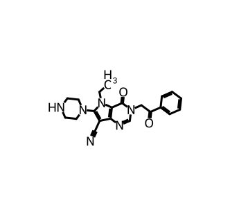 CCn1c(N2CCNCC2)c(C#N)c2ncn(CC(=O)c3ccccc3)c(=O)c21